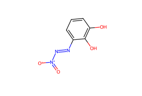 O=[N+]([O-])N=Nc1cccc(O)c1O